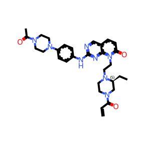 C=CC(=O)N1CCN(CCn2c(=O)ccc3cnc(Nc4ccc(N5CCN(C(C)=O)CC5)cc4)nc32)[C@@H](CC)C1